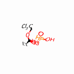 CCC(=O)OCC(Cl)(Cl)Cl.O=[PH](O)O